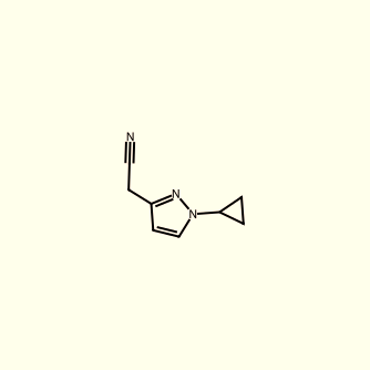 N#CCc1ccn(C2CC2)n1